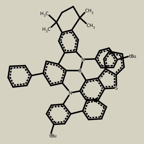 CC(C)(C)c1ccc(N2B3c4c(cc(-c5ccccc5)cc4N(c4ccc(C(C)(C)C)cc4-c4ccccc4)c4ccc5sc6ccccc6c5c43)-c3cc4c(cc32)C(C)(C)CCC4(C)C)cc1